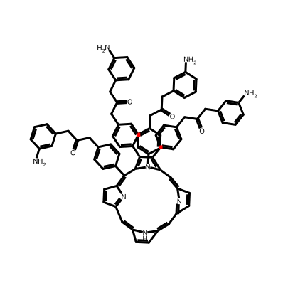 Nc1cccc(CC(=O)Cc2ccc(-c3c(-c4ccc(CC(=O)Cc5cccc(N)c5)cc4)c4c(-c5ccc(CC(=O)Cc6cccc(N)c6)cc5)c5nc(cc6ccc(cc7nc(cc3n4-c3ccc(CC(=O)Cc4cccc(N)c4)cc3)C=C7)[nH]6)C=C5)cc2)c1